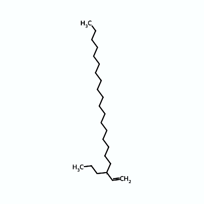 C=C[C](CCC)CCCCCCCCCCCCCCCCCC